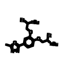 CCCCC(CC)COc1ccc(-c2nnc(C)o2)cc1OCC(CC)CCCC